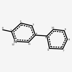 Cc1ccc(-c2[c]cccc2)cn1